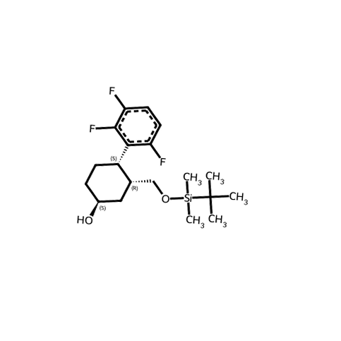 CC(C)(C)[Si](C)(C)OC[C@@H]1C[C@@H](O)CC[C@@H]1c1c(F)ccc(F)c1F